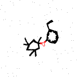 C=Cc1cccc(OC2(C)CC(C)(C)CC(C)(C)C2)c1